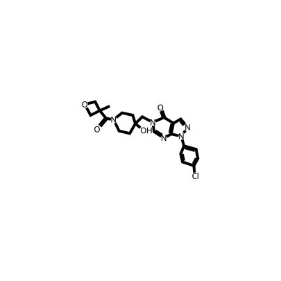 CC1(C(=O)N2CCC(O)(Cn3cnc4c(cnn4-c4ccc(Cl)cc4)c3=O)CC2)COC1